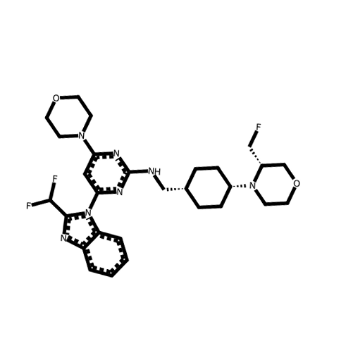 FC[C@@H]1COCCN1[C@H]1CC[C@@H](CNc2nc(N3CCOCC3)cc(-n3c(C(F)F)nc4ccccc43)n2)CC1